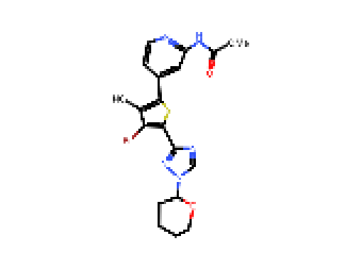 COC(=O)Nc1cc(-c2sc(-c3ncn(C4CCCCO4)n3)c(Br)c2C#N)ccn1